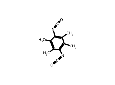 Cc1c(C)c(N=C=O)c(C)c(C)c1N=C=O